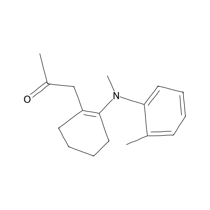 CC(=O)CC1=C(N(C)c2ccccc2C)CCCC1